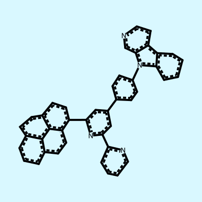 c1ccc(-c2cc(-c3ccc(-n4c5ccccc5c5ccncc54)cc3)cc(-c3ccc4ccc5cccc6ccc3c4c56)n2)nc1